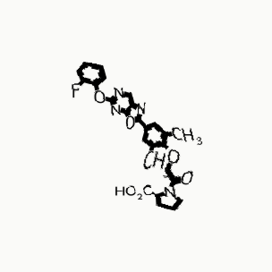 Cc1cc(-c2nc3cnc(Oc4ccccc4F)nc3o2)cc(C)c1OCC(=O)N1CCC[C@H]1C(=O)O